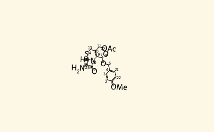 COc1ccc(COC(=O)C2=C(COC(C)=O)CS[C@@H]3[C@H](N)C(=O)N23)cc1